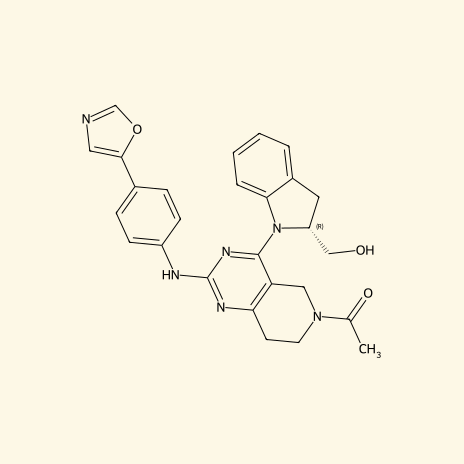 CC(=O)N1CCc2nc(Nc3ccc(-c4cnco4)cc3)nc(N3c4ccccc4C[C@@H]3CO)c2C1